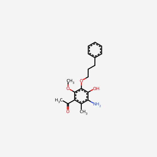 COc1c(OCCCc2ccccc2)c(O)c(N)c(C)c1C(C)=O